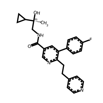 C[C@](O)(CNC(=O)c1cnc(CCc2ccncc2)c(-c2ccc(F)cc2)c1)C1CC1